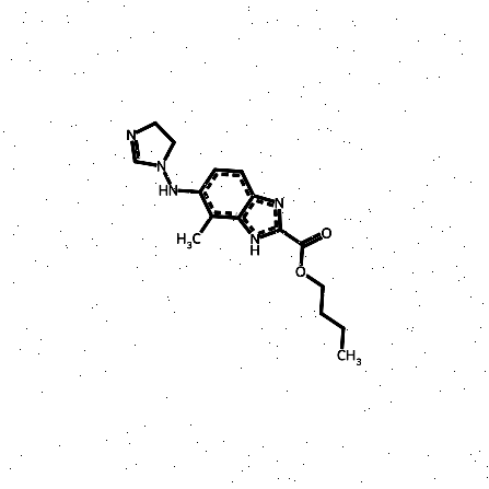 CCCCOC(=O)c1nc2ccc(NN3C=NCC3)c(C)c2[nH]1